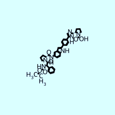 CC(C)OC(=O)N[C@@H](C(=O)N1CCC[C@@H]1C(=O)Nc1ccc2[nH]c(-c3ccc(-c4cnc([C@@H]5CCCN5C(=O)O)[nH]4)cc3)cc2c1)c1ccccc1